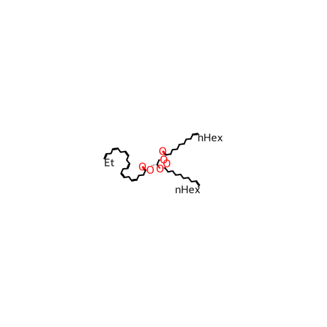 CC/C=C\C/C=C\C/C=C\C/C=C\C/C=C\C/C=C\CCC(=O)OC[C@H](COC(=O)CCCCCCC/C=C\CCCCCC)OC(=O)CCCCCCC/C=C\CCCCCC